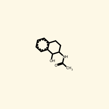 CC(=O)NC1CCc2ccccc2C1O